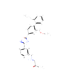 CCc1ccccc1-c1ccc(-c2nc(-c3cccc(CNCC(C)=O)c3)no2)cc1COC